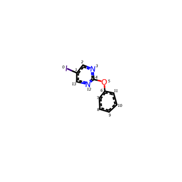 Ic1cnc(Oc2ccccc2)nc1